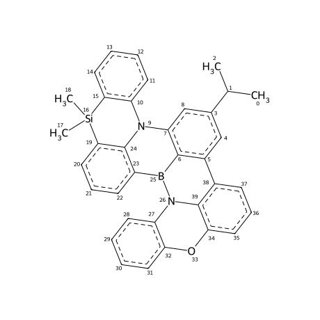 CC(C)c1cc2c3c(c1)N1c4ccccc4[Si](C)(C)c4cccc(c41)B3N1c3ccccc3Oc3cccc-2c31